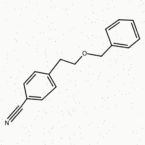 N#Cc1ccc(CCOCc2ccccc2)cc1